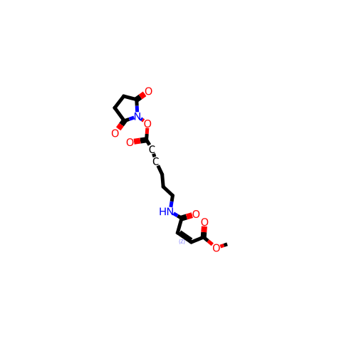 COC(=O)/C=C\C(=O)NCCCCCC(=O)ON1C(=O)CCC1=O